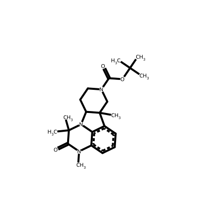 CN1C(=O)C(C)(C)N2c3c1cccc3C1(C)CN(C(=O)OC(C)(C)C)CCC21